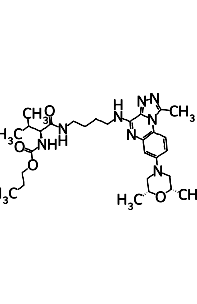 CCCOC(=O)N[C@H](C(=O)NCCCCNc1nc2cc(N3C[C@@H](C)O[C@@H](C)C3)ccc2n2c(C)nnc12)C(C)C